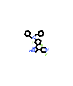 Fc1cc(-c2c[nH]nc2-c2c(F)ccc(N(Cc3ccccc3)Cc3ccccc3)c2F)ccn1